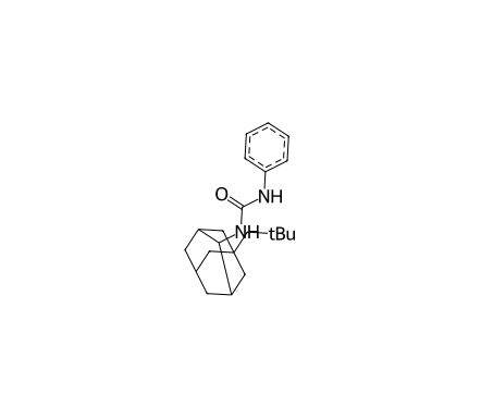 CC(C)(C)CC12CC3CC(C1)C(NC(=O)Nc1ccccc1)C(C3)C2